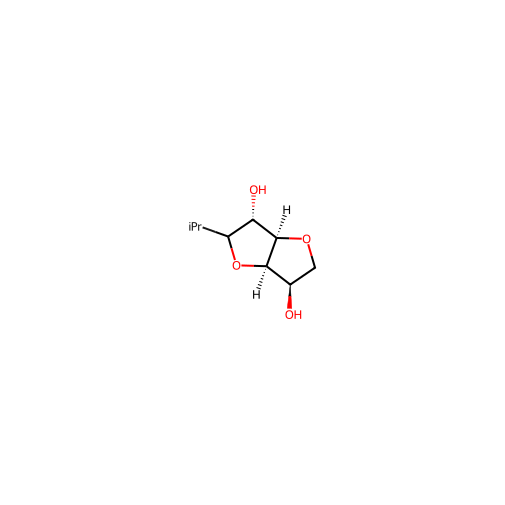 CC(C)C1O[C@H]2[C@H](OC[C@H]2O)[C@H]1O